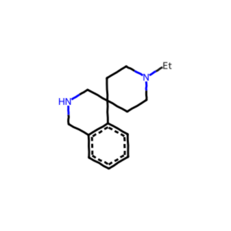 CCN1CCC2(CC1)CNCc1ccccc12